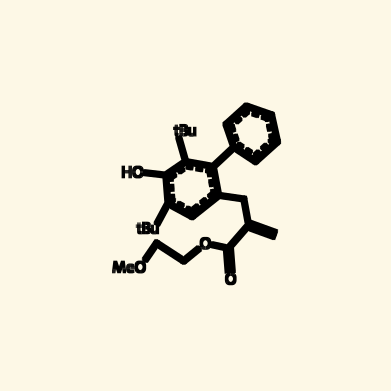 C=C(Cc1cc(C(C)(C)C)c(O)c(C(C)(C)C)c1-c1ccccc1)C(=O)OCCOC